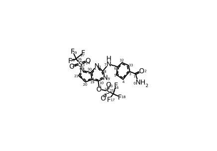 NC(=O)c1ccc(Nc2nc(OS(=O)(=O)C(F)(F)F)c3ccn(S(=O)(=O)C(F)(F)F)c3n2)cc1